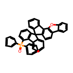 O=P(c1ccccc1)(c1ccccc1)c1cccc2c1-c1ccccc1C21c2ccccc2-c2c1ccc1c2oc2ccccc21